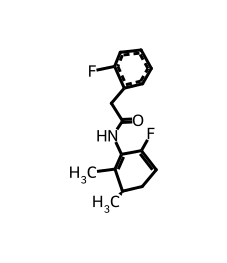 CC1=C(NC(=O)Cc2ccccc2F)C(F)=CC[C@H]1C